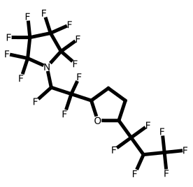 FC(N1C(F)(F)C(F)(F)C(F)(F)C1(F)F)C(F)(F)C1CCC(C(F)(F)C(F)C(F)(F)F)O1